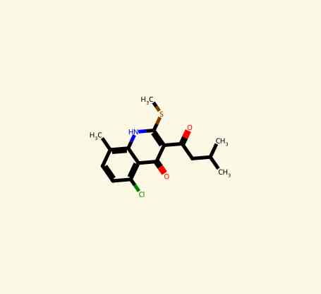 CSc1[nH]c2c(C)ccc(Cl)c2c(=O)c1C(=O)CC(C)C